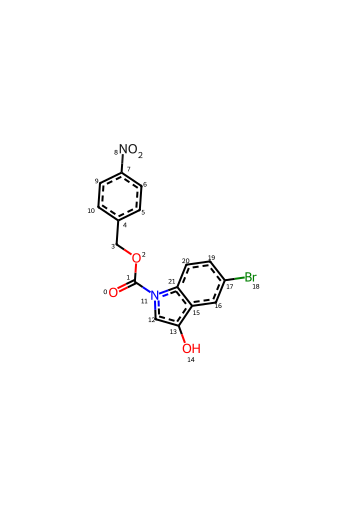 O=C(OCc1ccc([N+](=O)[O-])cc1)n1cc(O)c2cc(Br)ccc21